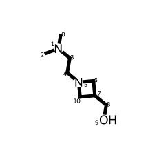 CN(C)CCN1CC(CO)C1